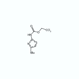 CC(C)(C)c1csc(NC(=O)OCC(Cl)(Cl)Cl)n1